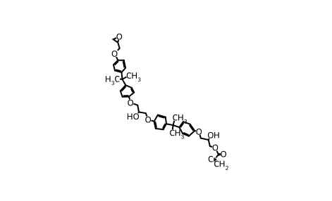 [CH2]=[Cr][C](=O)OCC(O)COc1ccc(C(C)(C)c2ccc(OCC(O)COc3ccc(C(C)(C)c4ccc(OCC5CO5)cc4)cc3)cc2)cc1